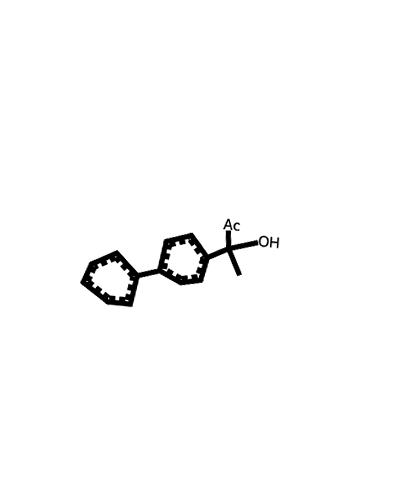 CC(=O)C(C)(O)c1ccc(-c2ccccc2)cc1